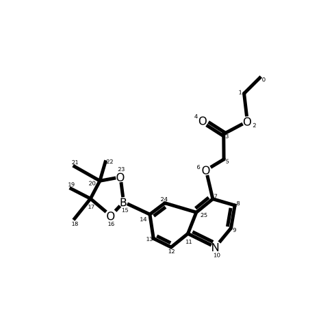 CCOC(=O)COc1ccnc2ccc(B3OC(C)(C)C(C)(C)O3)cc12